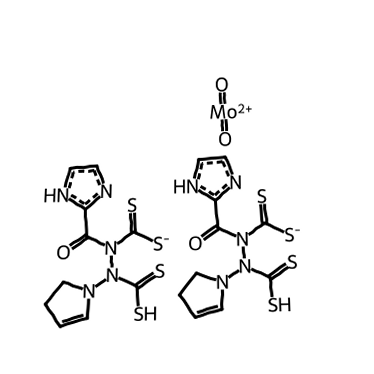 O=C(c1ncc[nH]1)N(C(=S)[S-])N(C(=S)S)N1C=CCC1.O=C(c1ncc[nH]1)N(C(=S)[S-])N(C(=S)S)N1C=CCC1.[O]=[Mo+2]=[O]